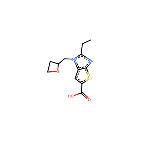 CCc1nc2sc(C(=O)O)cc2n1CC1CCO1